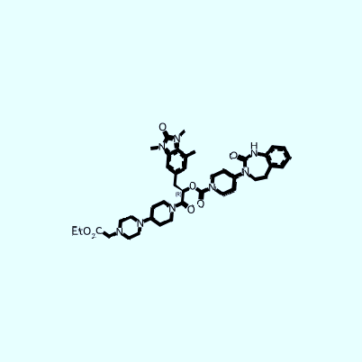 CCOC(=O)CN1CCN(C2CCN(C(=O)[C@@H](Cc3cc(C)c4c(c3)n(C)c(=O)n4C)OC(=O)N3CCC(N4CCc5ccccc5NC4=O)CC3)CC2)CC1